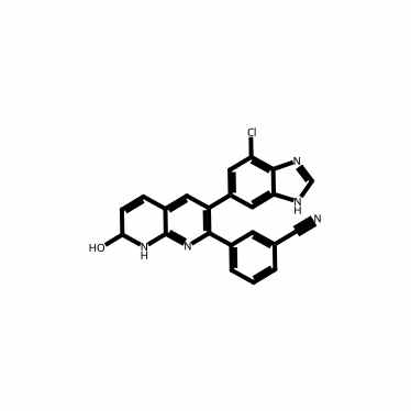 N#Cc1cccc(-c2nc3c(cc2-c2cc(Cl)c4nc[nH]c4c2)C=CC(O)N3)c1